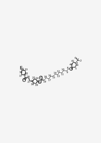 C=C(C)c1ccc(OCCCCCCCCCCCCC(=O)Oc2ccc(C=CC(=O)c3ccc(F)cc3)cc2)cc1